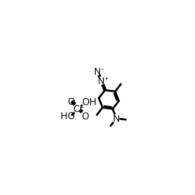 CC1=CC(N(C)C)=C(C)CC1=[N+]=[N-].[O]=[Cr](=[O])([OH])[OH]